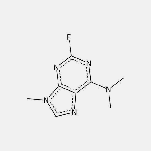 CN(C)c1nc(F)nc2c1ncn2C